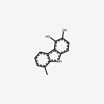 Cc1cccc2c1[nH]c1ccc(O)c(O)c12